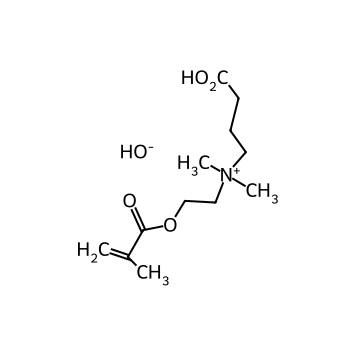 C=C(C)C(=O)OCC[N+](C)(C)CCCC(=O)O.[OH-]